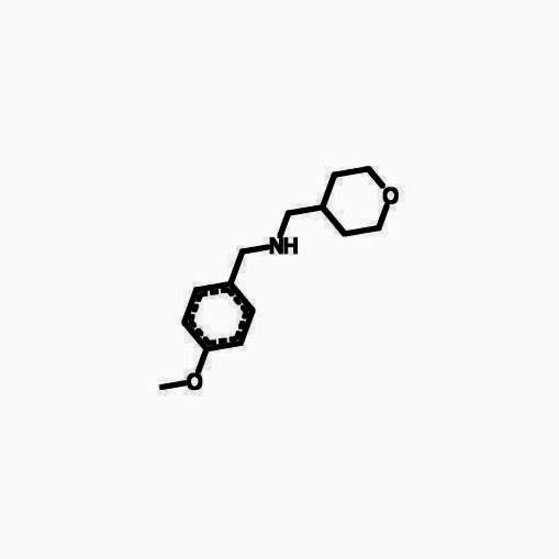 COc1ccc(CNCC2CCOCC2)cc1